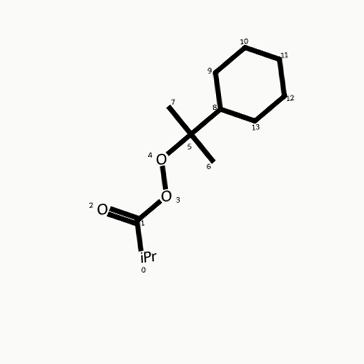 CC(C)C(=O)OOC(C)(C)C1CCCCC1